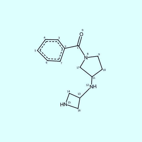 O=C(c1ccccc1)N1CCC(NC2CNC2)C1